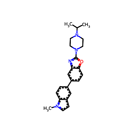 CC(C)N1CCN(c2nc3cc(-c4ccc5c(ccn5C)c4)ccc3o2)CC1